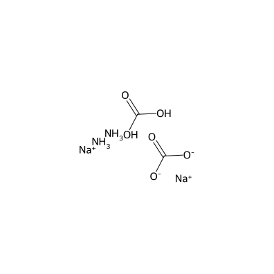 N.N.O=C(O)O.O=C([O-])[O-].[Na+].[Na+]